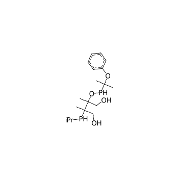 CC(C)PC(C)(CO)C(C)(CO)OPC(C)(C)Oc1ccccc1